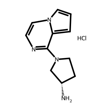 Cl.N[C@H]1CCN(c2nccn3cccc23)C1